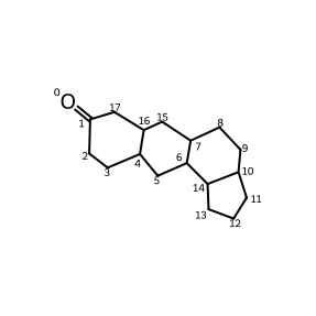 O=C1CCC2CC3C(CCC4CCCC43)CC2C1